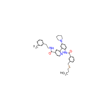 O=C(O)CCSCc1cccc(C(=O)Nc2ccc(N3CCCCC3)cc2-c2cc(C(=O)NCCc3cccc(C(F)(F)F)c3)ccn2)c1